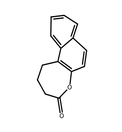 O=C1CCCc2c(ccc3ccccc23)O1